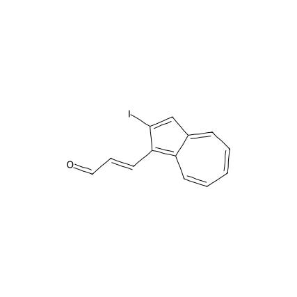 O=CC=Cc1c(I)cc2cccccc1-2